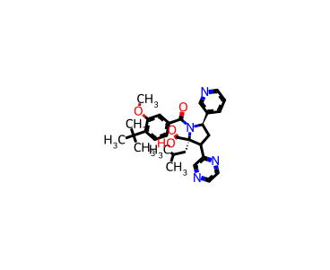 COc1cc(C(=O)N2[C@@H](c3cccnc3)CC(c3cnccn3)[C@@]2(CC(C)C)C(=O)O)ccc1C(C)(C)C